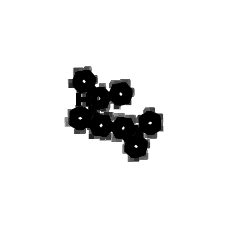 C1CCC(C2CC(C3CCCCC3)NC(N3C4CCCCC4C4CCC(C5CCC6C(C5)C5CCCCC5N6C5CCCCC5)CC43)C2)CC1